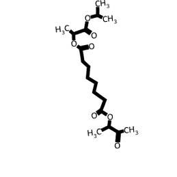 CC(=O)C(C)OC(=O)CCCCCCC(=O)OC(C)C(=O)OC(C)C